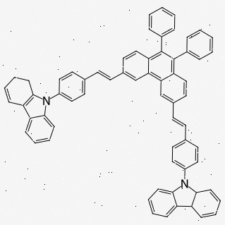 C1=CC2c3ccccc3N(c3ccc(/C=C/c4ccc5c(-c6ccccc6)c(-c6ccccc6)c6ccc(/C=C/c7ccc(-n8c9c(c%10ccccc%108)C=CCC9)cc7)cc6c5c4)cc3)C2C=C1